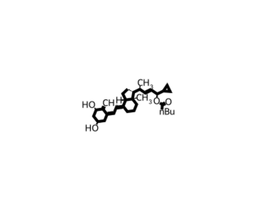 C=C1/C(=C\C=C2/CCC[C@]3(C)[C@@H]([C@H](C)/C=C/[C@H](OC(=O)CCCC)C4CC4)CC[C@@H]23)C[C@@H](O)C[C@@H]1O